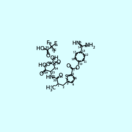 CC(Cc1ccc(C(=O)Oc2ccc(C(=N)N)cc2)s1)C(=O)NC(CS(=O)(=O)O)C(=O)O.O=C(O)C(F)(F)F